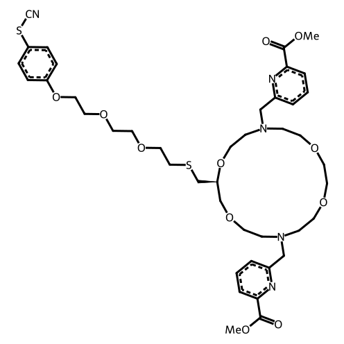 COC(=O)c1cccc(CN2CCOCCOCCN(Cc3cccc(C(=O)OC)n3)CCO[C@H](CSCCOCCOCCOc3ccc(SC#N)cc3)COCC2)n1